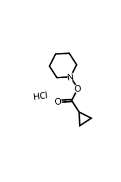 Cl.O=C(ON1CCCCC1)C1CC1